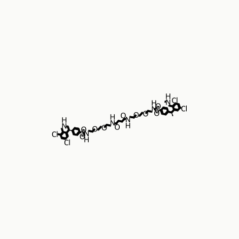 CNCc1c(Cl)cc(Cl)cc1[C@@H](C)c1ccc(S(=O)(=O)NCCOCCOCCNC(=O)CCC(=O)NCCOCCOCCNS(=O)(=O)c2ccc([C@@H]3CNCc4c(Cl)cc(Cl)cc43)cc2)cc1